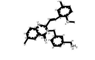 COc1ccc(OC)c(/C=C/c2nc3ccc(C)cc3c(=O)n2Cc2cccc(CN)c2)c1